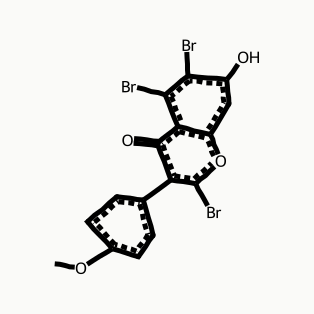 COc1ccc(-c2c(Br)oc3cc(O)c(Br)c(Br)c3c2=O)cc1